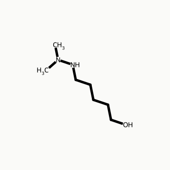 CN(C)NCCCCCO